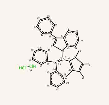 CC1=C(C)C(C)[C]([Zr]([CH]2C=C(c3ccccc3)c3ccccc32)=[Si](c2ccccc2)c2ccccc2)=C1C.Cl.Cl